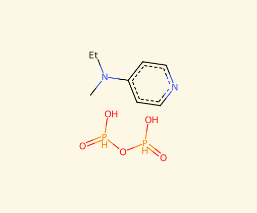 CCN(C)c1ccncc1.O=[PH](O)O[PH](=O)O